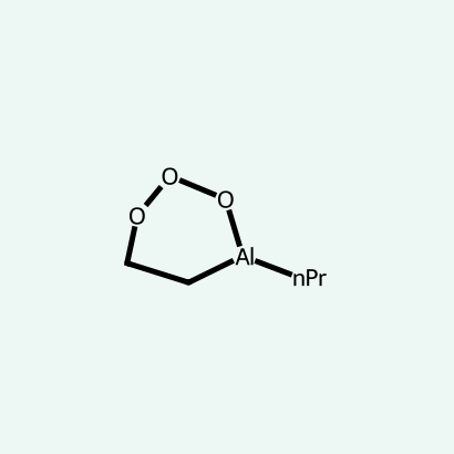 CC[CH2][Al]1[CH2]COO[O]1